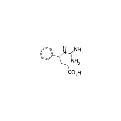 N=C(N)NC(CCC(=O)O)c1ccccc1